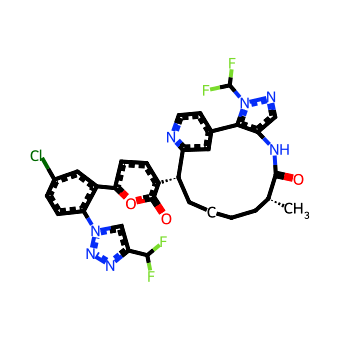 C[C@@H]1CCCC[C@H](c2ccc(-c3cc(Cl)ccc3-n3cc(C(F)F)nn3)oc2=O)c2cc(ccn2)-c2c(cnn2C(F)F)NC1=O